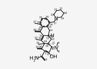 C=C(N)C1=C(O)[C@@H](N(C)C)[C@]2(C)C[C@@H]3Cc4c(CN5CCCCC5)ccc(C)c4C(=C)C3=C(C)C2(C)C1=C